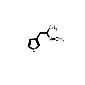 C=NC(C)Cc1ccsc1